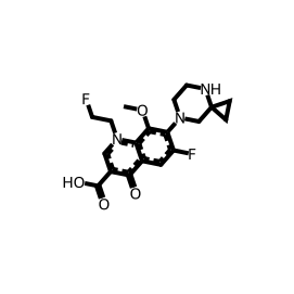 COc1c(N2CCNC3(CC3)C2)c(F)cc2c(=O)c(C(=O)O)cn(CCF)c12